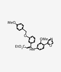 CCOC(=O)C=C(Nc1ccc(-c2cnco2)c(OC)c1)c1cccc(OCc2ccc(OC)cc2)c1